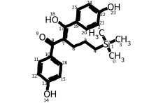 C[Si](C)(C)CCC/C(C(=O)c1ccc(O)cc1)=C(/O)c1ccc(O)cc1